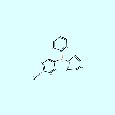 [Pd][I].c1ccc(P(c2ccccc2)c2ccccc2)cc1